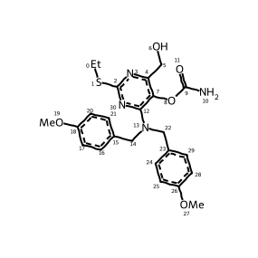 CCSc1nc(CO)c(OC(N)=O)c(N(Cc2ccc(OC)cc2)Cc2ccc(OC)cc2)n1